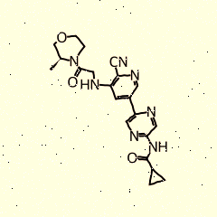 C[C@H]1COCCN1C(=O)CNc1cc(-c2cnc(NC(=O)C3CC3)cn2)cnc1C#N